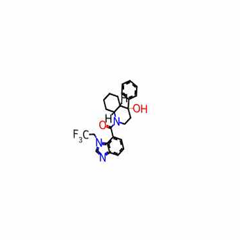 O=C(c1cccc2ncn(CC(F)(F)F)c12)N1CC[C@](O)(c2ccccc2)[C@H]2CCCC[C@H]21